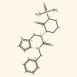 NP(N)(=O)N1CCC[C@H](N(Cc2ccco2)C(=O)OCc2ccccc2)C1=O